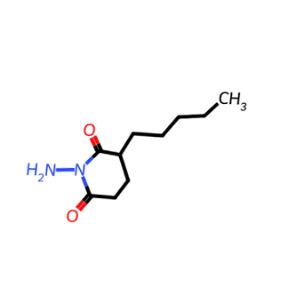 CCCCCC1CCC(=O)N(N)C1=O